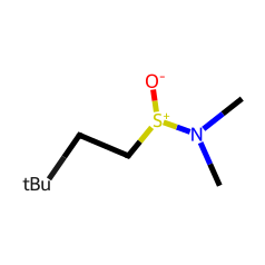 CN(C)[S+]([O-])CCC(C)(C)C